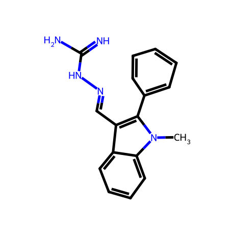 Cn1c(-c2ccccc2)c(/C=N/NC(=N)N)c2ccccc21